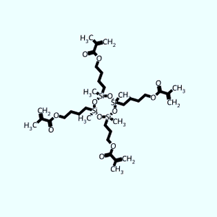 C=C(C)C(=O)OCCCC[Si]1(C)O[Si](C)(CCCCOC(=O)C(=C)C)O[Si](C)(CCCOC(=O)C(=C)C)O[Si](C)(CCCCOC(=O)C(=C)C)O1